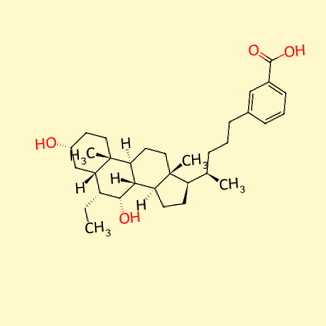 CC[C@H]1[C@@H](O)[C@@H]2[C@H](CC[C@]3(C)[C@@H]([C@H](C)CCCc4cccc(C(=O)O)c4)CC[C@@H]23)[C@@]2(C)CC[C@@H](O)C[C@@H]12